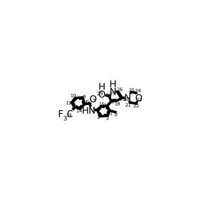 Cc1ccc(NC(=O)c2cccc(C(F)(F)F)c2)cc1C1=CC(N2CCOCC2)=CNC1O